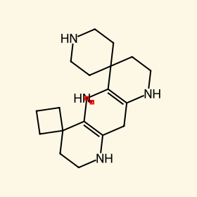 C1CC2(C1)CCNC1=C2C2(CNC2)C2=C(C1)NCCC21CCNCC1